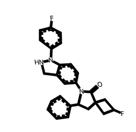 O=C1N(c2ccc3c(c2)CNN3c2ccc(F)cc2)C(c2ccccc2)CC12CC(F)C2